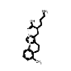 Cc1cccc2c1CCc1c(CC(CCCN)C(=O)O)ncn1-2